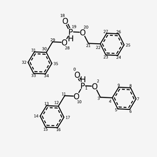 O=[PH](OCc1ccccc1)OCc1ccccc1.O=[PH](OCc1ccccc1)OCc1ccccc1